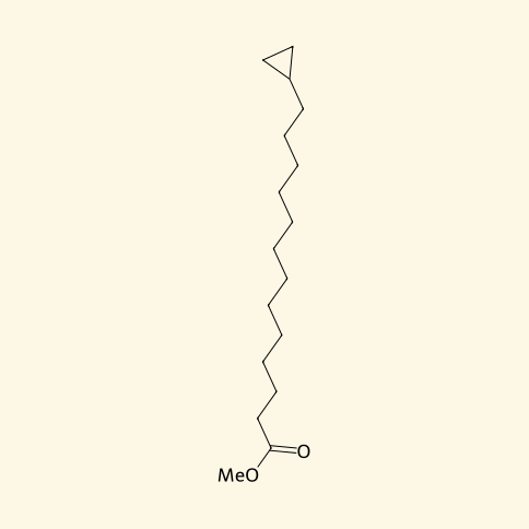 COC(=O)CCCCCCCCCCCCC1CC1